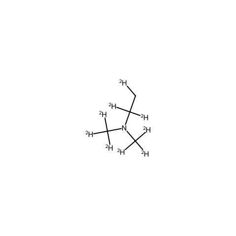 [2H]CC([2H])([2H])N(C([2H])([2H])[2H])C([2H])([2H])[2H]